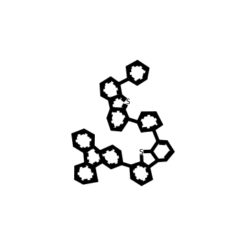 C1=CC2c3cccc(-c4ccc5c6ccccc6c6ccccc6c5c4)c3SC2C(c2cccc(-c3cccc4c3sc3c(-c5ccccc5)cccc34)c2)=C1